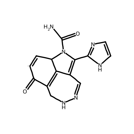 NC(=O)N1C(c2ncc[nH]2)=C2C=NNCC3=C2C1C=[C]C3=O